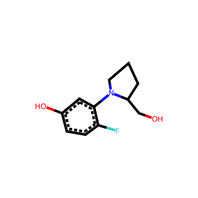 OCC1CCCN1c1cc(O)ccc1F